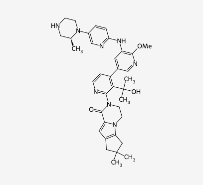 COc1ncc(-c2ccnc(N3CCn4c(cc5c4CC(C)(C)C5)C3=O)c2C(C)(C)O)cc1Nc1ccc(N2CCNC[C@@H]2C)cn1